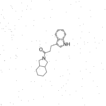 O=C(CCc1c[nH]c2ccccc12)N1CC2CCCCC2C1